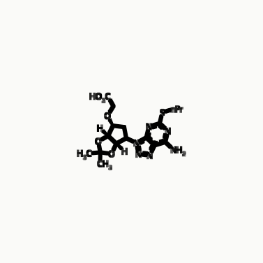 CCCSc1nc(N)c2nnn(C3C[C@H](OCC(=O)O)[C@H]4OC(C)(C)O[C@@H]34)c2n1